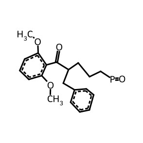 COc1cccc(OC)c1C(=O)C(CCCP=O)Cc1ccccc1